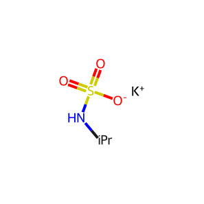 CC(C)NS(=O)(=O)[O-].[K+]